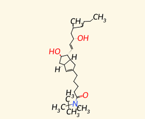 CCCC[C@H](C)C[C@H](O)/C=C/[C@@H]1[C@H]2CC(CCCCC(=O)N(C)C(C)(C)C)=C[C@H]2C[C@H]1O